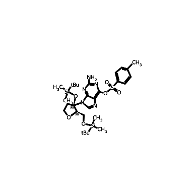 Cc1ccc(S(=O)(=O)Oc2nc(N)nc3c2ncn3[C@@]2(O[Si](C)(C)C(C)(C)C)CCO[C@@H]2CO[Si](C)(C)C(C)(C)C)cc1